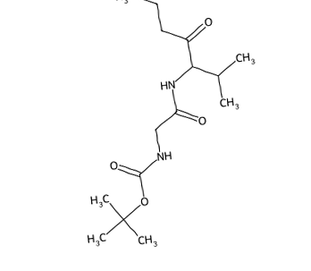 CCCC(=O)C(NC(=O)CNC(=O)OC(C)(C)C)C(C)C